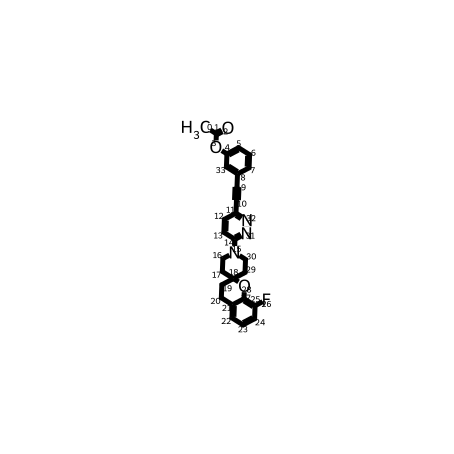 CC(=O)Oc1cccc(C#Cc2ccc(N3CCC4(CCc5cccc(F)c5O4)CC3)nn2)c1